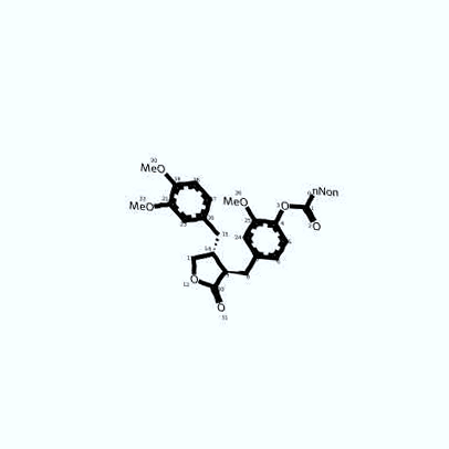 CCCCCCCCCC(=O)Oc1ccc(C[C@H]2C(=O)OC[C@@H]2Cc2ccc(OC)c(OC)c2)cc1OC